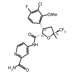 COc1c([C@@H]2C[C@@](C)(C(F)(F)F)O[C@@H]2C(=O)Nc2ccnc(C(N)=O)c2)ccc(F)c1Cl